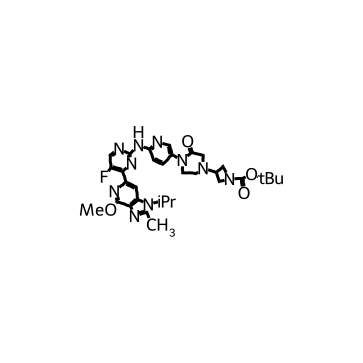 COc1nc(-c2nc(Nc3ccc(N4CCN(C5CN(C(=O)OC(C)(C)C)C5)CC4=O)cn3)ncc2F)cc2c1nc(C)n2C(C)C